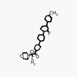 CC1CCC(C2CCC(C3CCC(C4CCC(C(=O)C(C)(C)N5CCOCC5)CC4)CC3)C(F)C2)CC1